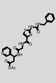 CC(=O)OC(=O)CC(NC(=O)CNC(=O)c1csc(NC(=O)NCc2ccccc2)n1)c1cccnc1